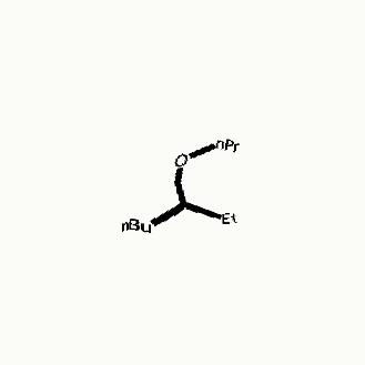 CCCCC(CC)OCCC